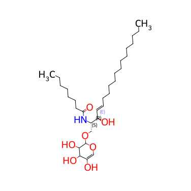 CCCCCCCCCCCCC/C=C/[C@@H](O)[C@H](COC1OC=C(O)C(O)C1O)NC(=O)CCCCCCC